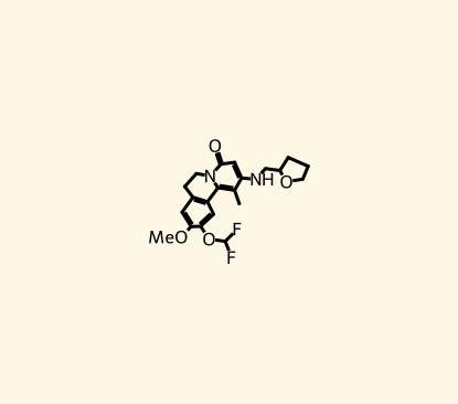 COc1cc2c(cc1OC(F)F)-c1c(C)c(NCC3CCCO3)cc(=O)n1CC2